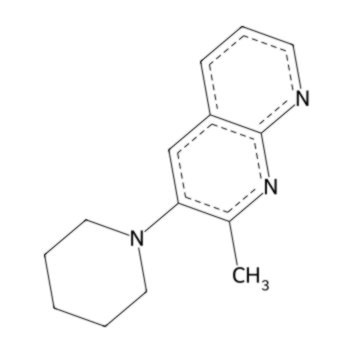 Cc1nc2ncccc2cc1N1CCCCC1